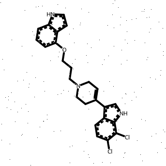 Clc1ccc2c(C3=CCN(CCCOc4cccc5[nH]ccc45)CC3)c[nH]c2c1Cl